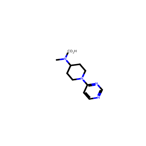 CN(C(=O)O)C1CCN(c2ccncn2)CC1